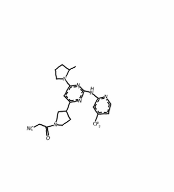 CC1CCCN1c1cc(C2CCN(C(=O)CC#N)C2)nc(Nc2cc(C(F)(F)F)ccn2)n1